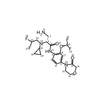 NC[C@H](C(=O)Nc1ccc(N2CCOCC2=O)cc1OC(F)F)N(CC(F)F)C1CC1